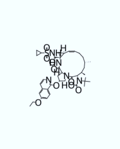 CCOc1ccc2c(O[C@@H]3C[C@H]4C(=O)N[C@]5(C(=O)NS(=O)(=O)C6CC6)C[C@H]5/C=C\CC[C@H](C)C[C@@H](C)[C@H](N(C(=O)O)C(C)(C)C)C(=O)N4C3)nccc2c1